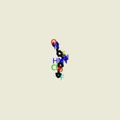 Fc1cccc(COc2ccc(Nc3ncnc4sc5c(c34)CCC(CCN3CCOCC3)C5)cc2Cl)c1